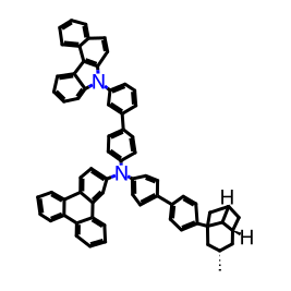 C[C@H]1C[C@H]2C[C@H]3CC(c4ccc(-c5ccc(N(c6ccc(-c7cccc(-n8c9ccccc9c9c%10ccccc%10ccc98)c7)cc6)c6ccc7c8ccccc8c8ccccc8c7c6)cc5)cc4)(C1)C23